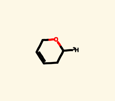 [2H]C1CC=CCO1